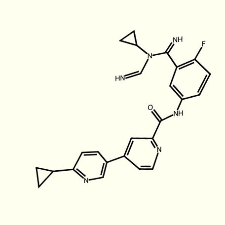 N=CN(C(=N)c1cc(NC(=O)c2cc(-c3ccc(C4CC4)nc3)ccn2)ccc1F)C1CC1